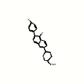 CCCCCCC1CCC(c2ccc3c(F)c(-c4ccc(F)cc4)ccc3c2)CC1